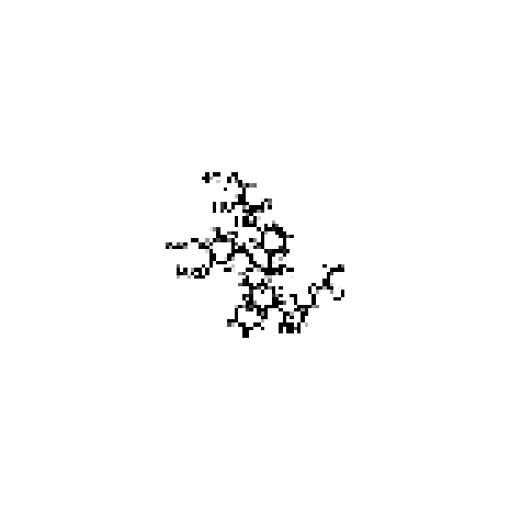 C=CC(=O)OCC(C)(C)C(O)C(=O)N1CCCC[C@H]1C(=O)O[C@](CC)(CCc1ccc(OC)c(OC)c1)c1cccc(NC(=O)[C@@H](O)CC(=O)O)c1